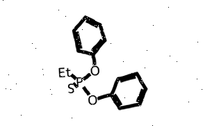 CCP(=S)(Oc1ccccc1)Oc1ccccc1